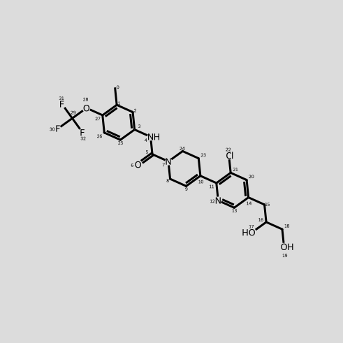 Cc1cc(NC(=O)N2CC=C(c3ncc(CC(O)CO)cc3Cl)CC2)ccc1OC(F)(F)F